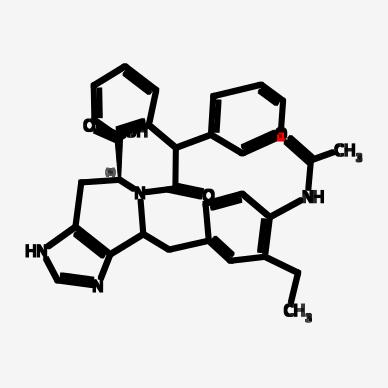 CCc1cc(CC2c3nc[nH]c3C[C@@H](C(=O)O)N2C(=O)C(c2ccccc2)c2ccccc2)ccc1NC(C)=O